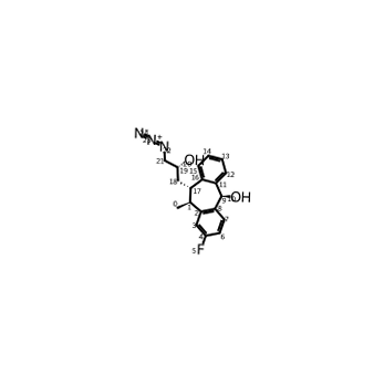 C[C@@H]1c2cc(F)ccc2[C@H](O)c2ccccc2[C@H]1C[C@@H](O)CN=[N+]=[N-]